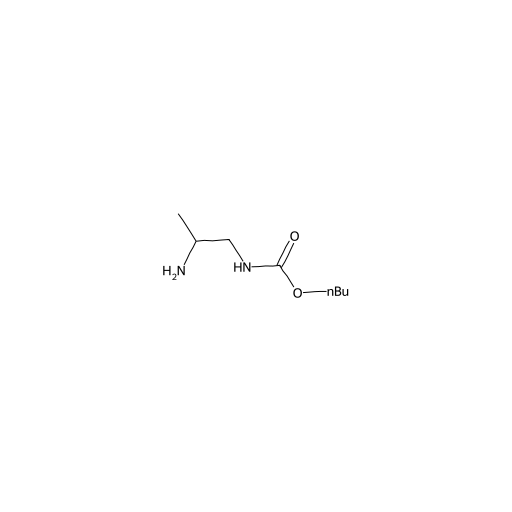 CCCCOC(=O)NCC(C)N